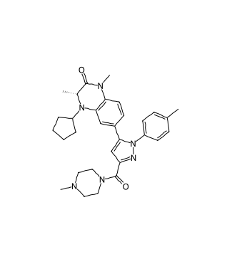 Cc1ccc(-n2nc(C(=O)N3CCN(C)CC3)cc2-c2ccc3c(c2)N(C2CCCC2)[C@H](C)C(=O)N3C)cc1